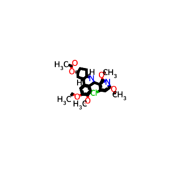 CCOc1cc2c(cc1OC)C(c1c(Cl)cc(OC)nc1OC)=N[C@@H]1CC[C@@H](OC(C)=O)C[C@H]21